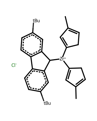 CC1=CC[C]([Zr+]([C]2=CC(C)=CC2)[CH]2c3cc(C(C)(C)C)ccc3-c3ccc(C(C)(C)C)cc32)=C1.[Cl-]